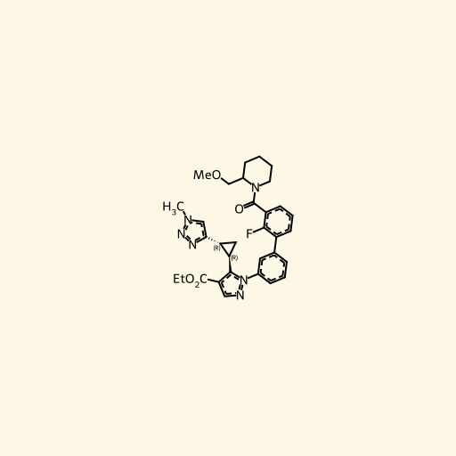 CCOC(=O)c1cnn(-c2cccc(-c3cccc(C(=O)N4CCCCC4COC)c3F)c2)c1[C@@H]1C[C@H]1c1cn(C)nn1